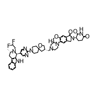 C[C@H]1Cc2c([nH]c3ccccc23)[C@H](c2cnc(N3CCC4(CC3)C[C@@H](CN3CCN5c6cc7c(cc6OC[C@H]5C3)C(=O)N([C@@H]3CCC(=O)NC3=O)C7)CO4)nc2)N1CC(F)F